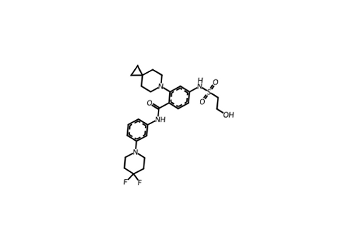 O=C(Nc1cccc(N2CCC(F)(F)CC2)c1)c1ccc(NS(=O)(=O)CCO)cc1N1CCC2(CC1)CC2